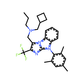 CCCN(Cc1c(C(F)(F)F)nc2n(-c3c(C)cc(C)cc3C)c3ccccc3n12)CC1CCC1